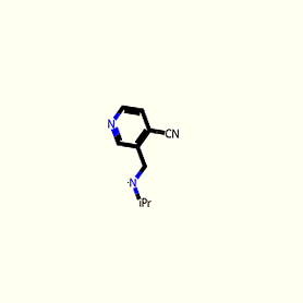 CC(C)[N]Cc1cnccc1C#N